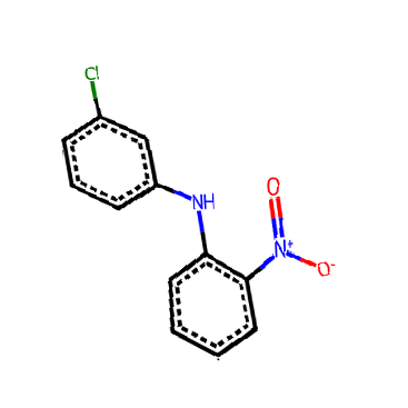 O=[N+]([O-])c1c[c]ccc1Nc1cccc(Cl)c1